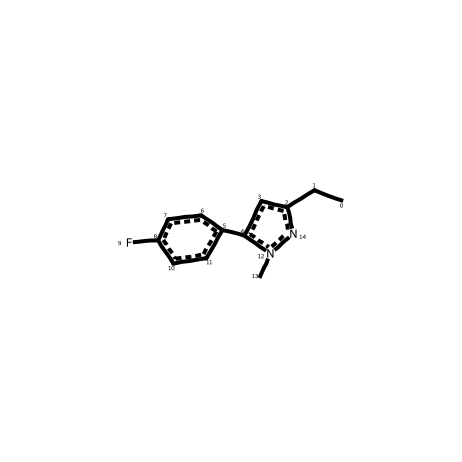 CCc1cc(-c2ccc(F)cc2)n(C)n1